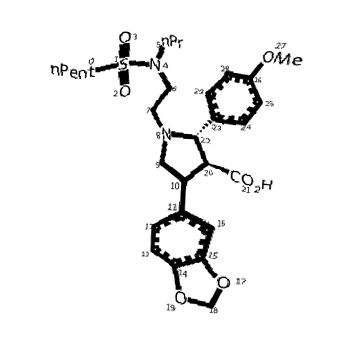 CCCCCS(=O)(=O)N(CCC)CCN1CC(c2ccc3c(c2)OCO3)[C@H](C(=O)O)[C@H]1c1ccc(OC)cc1